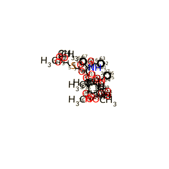 CO[Si](CCCSCC(=O)O[C@@H](C(=O)O[C@H]1C[C@@]2(O)[C@@H](OC(=O)c3ccccc3)[C@@H]3C(C(=O)[C@H](OC(C)=O)C(=C1C)C2(C)C)[C@@H](O)C[C@H]1OC[C@]13OC(C)=O)[C@@H](NC(=O)c1ccccc1)c1ccccc1)(OC)OC